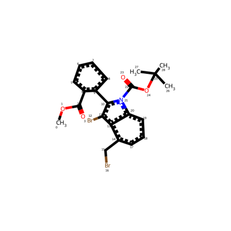 COC(=O)c1ccccc1-c1c(Br)c2c(CBr)cccc2n1C(=O)OC(C)(C)C